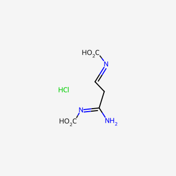 Cl.NC(CC=NC(=O)O)=NC(=O)O